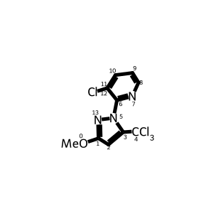 COc1cc(C(Cl)(Cl)Cl)n(-c2ncccc2Cl)n1